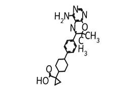 CC1(C)Oc2ncnc(N)c2N=C1c1ccc(C2CCC(C3(C(=O)O)CC3)CC2)cc1